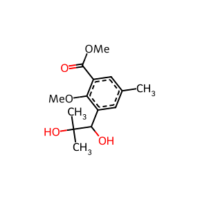 COC(=O)c1cc(C)cc(C(O)C(C)(C)O)c1OC